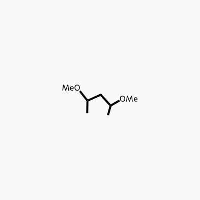 COC(C)CC(C)OC